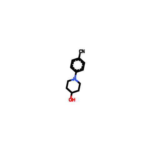 N#Cc1ccc(N2CCC(O)CC2)cc1